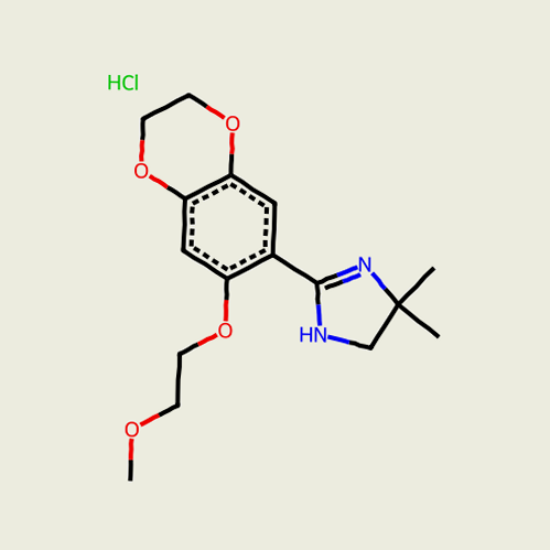 COCCOc1cc2c(cc1C1=NC(C)(C)CN1)OCCO2.Cl